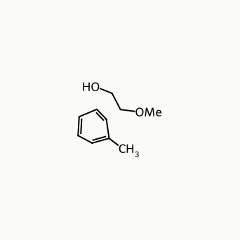 COCCO.Cc1ccccc1